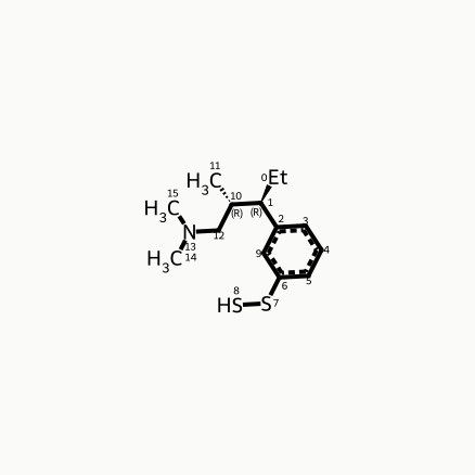 CC[C@@H](c1cccc(SS)c1)[C@@H](C)CN(C)C